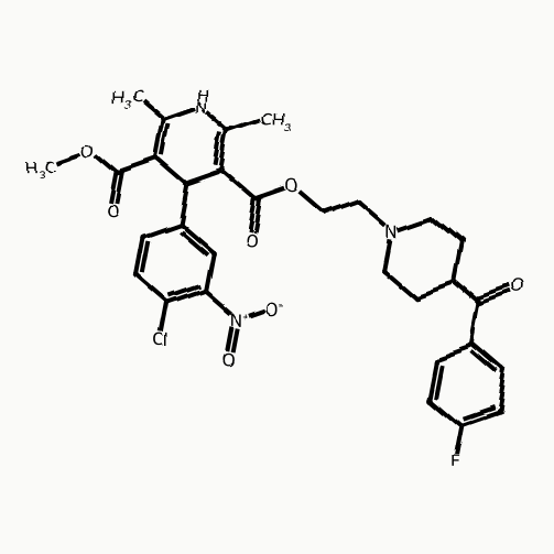 COC(=O)C1=C(C)NC(C)=C(C(=O)OCCN2CCC(C(=O)c3ccc(F)cc3)CC2)C1c1ccc(Cl)c([N+](=O)[O-])c1